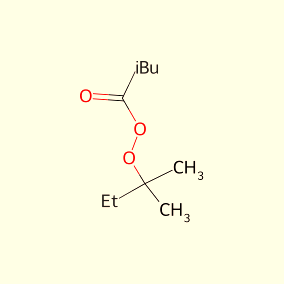 CCC(C)C(=O)OOC(C)(C)CC